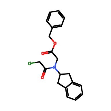 O=C(CN(C(=O)CCl)C1Cc2ccccc2C1)OCc1ccccc1